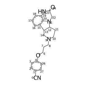 N#Cc1ccc(OCCCN2CCC3C(C2)c2cccc4c2N3CC(=O)N4)cc1